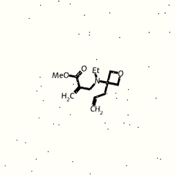 C=CCC1(N(CC)CC(=C)C(=O)OC)COC1